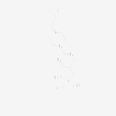 CC(C)(C)Oc1cnc(N2CCN(CCO)CC2)nc1